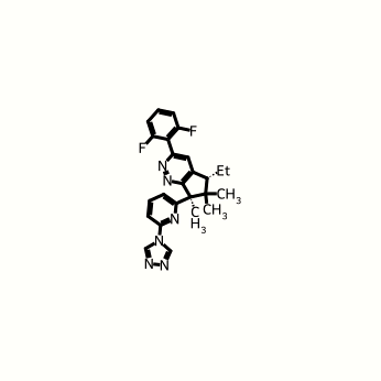 CC[C@H]1c2cc(-c3c(F)cccc3F)nnc2[C@](C)(c2cccc(-n3cnnc3)n2)C1(C)C